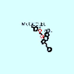 CCCCc1ccc2c(c1)C(OCCOc1ccc(CC(OC)C(=O)OCC)cc1)c1cccc(CCc3ccccc3)c1C=C2